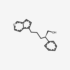 OC[C@H](CCCc1ccc2coccc1-2)c1ccccc1